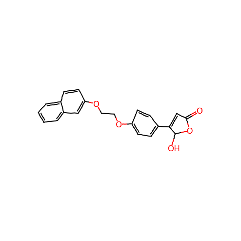 O=C1C=C(c2ccc(OCCOc3ccc4ccccc4c3)cc2)C(O)O1